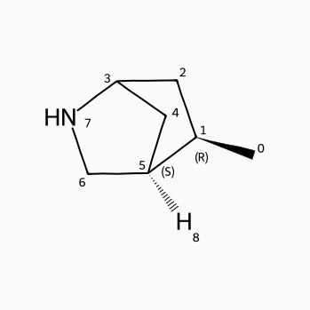 C[C@@H]1CC2C[C@@H]1CN2